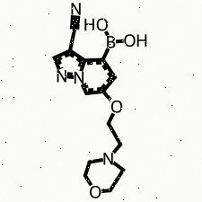 N#Cc1cnn2cc(OCCN3CCOCC3)cc(B(O)O)c12